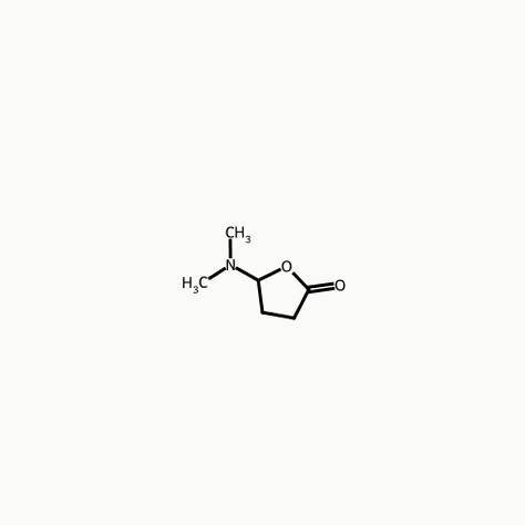 CN(C)C1CCC(=O)O1